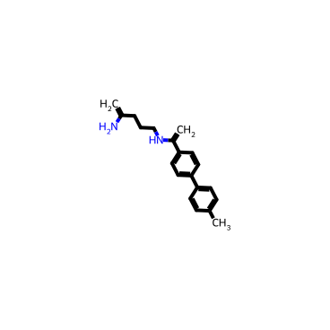 C=C(N)CCCNC(=C)c1ccc(-c2ccc(C)cc2)cc1